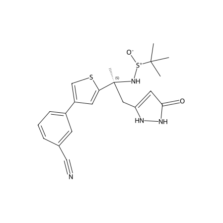 CC(C)(C)[S+]([O-])N[C@@](C)(Cc1cc(=O)[nH][nH]1)c1cc(-c2cccc(C#N)c2)cs1